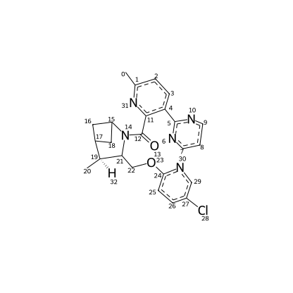 Cc1ccc(-c2ncccn2)c(C(=O)N2C3CC(C3)[C@H](C)C2COc2ccc(Cl)cn2)n1